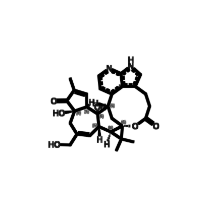 CC1=C[C@H]2[C@@]3(O)[C@H]4C[C@]5(OC(=O)CCc6c[nH]c7nccc4c67)[C@H]([C@@H]3C=C(CO)C[C@]2(O)C1=O)C5(C)C